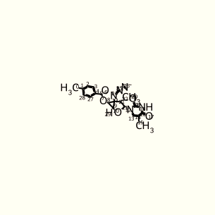 Cc1ccc(C(=O)OC2[C@H]3O[C@@H](n4cc(C)c(=O)[nH]c4=O)[C@H](C)C23N=[N+]=[N-])cc1